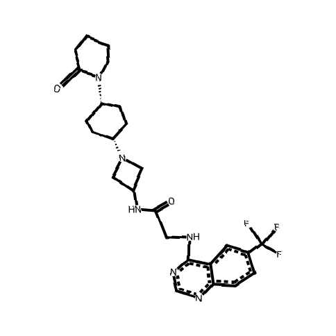 O=C(CNc1ncnc2ccc(C(F)(F)F)cc12)NC1CN([C@H]2CC[C@@H](N3CCCCC3=O)CC2)C1